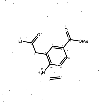 C=C.CCC(=O)Cc1cc(C(=O)OC)ccc1N